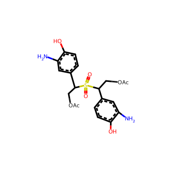 CC(=O)OCC(c1ccc(O)c(N)c1)S(=O)(=O)C(COC(C)=O)c1ccc(O)c(N)c1